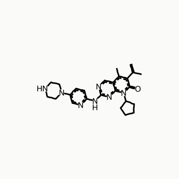 C=C(C)c1c(C)c2cnc(Nc3ccc(N4CCNCC4)cn3)nc2n(C2CCCC2)c1=O